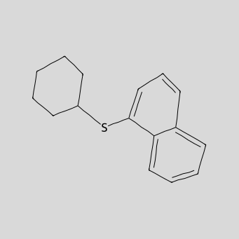 c1ccc2c(SC3CCCCC3)cccc2c1